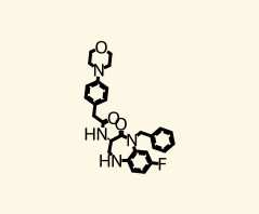 O=C(Cc1ccc(N2CCOCC2)cc1)N[C@H]1CNc2ccc(F)cc2N(Cc2ccccc2)C1=O